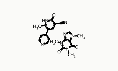 Cc1[nH]c(=O)c(C#N)cc1-c1ccncc1.Cn1c(=O)c2c(ncn2C)n(C)c1=O